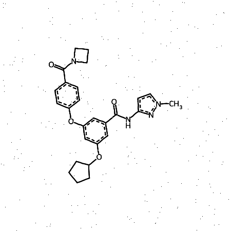 Cn1ccc(NC(=O)c2cc(Oc3ccc(C(=O)N4CCC4)cc3)cc(OC3CCCC3)c2)n1